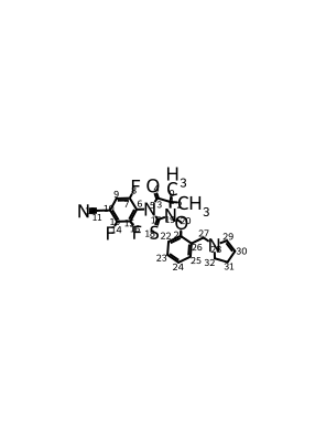 CC1(C)C(=O)N(c2c(F)cc(C#N)c(F)c2F)C(=S)N1Oc1ccccc1CN1C=CCC1